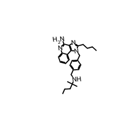 CCCCc1nc2c(N)nc3ccccc3c2n1Cc1ccc(CNC(C)(C)CCC)cc1